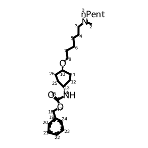 CCCCCN(C)CCCCCCO[C@H]1CC[C@H](NC(=O)OCc2ccccc2)CC1